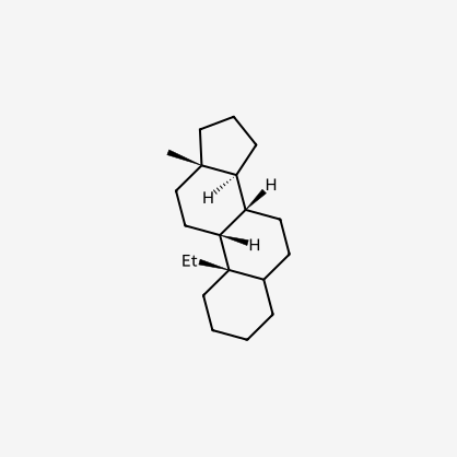 CC[C@]12CCCCC1CC[C@@H]1[C@H]2CC[C@]2(C)CCC[C@@H]12